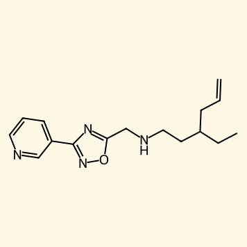 C=CCC(CC)CCNCc1nc(-c2cccnc2)no1